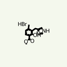 Br.COC(=O)c1ccc(C)c(Cc2c[nH]cn2)c1O